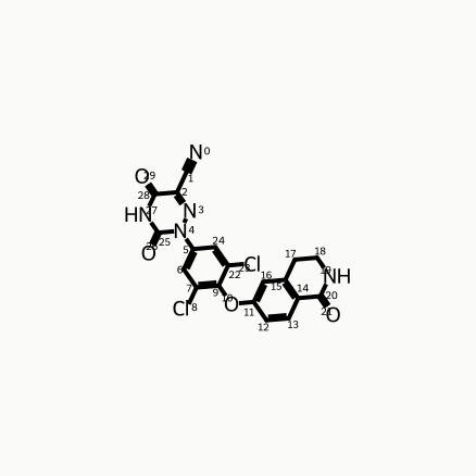 N#Cc1nn(-c2cc(Cl)c(Oc3ccc4c(c3)CCNC4=O)c(Cl)c2)c(=O)[nH]c1=O